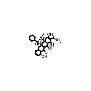 C[C@H]1c2cccc(O)c2C(=O)C2=C(O)[C@]3(O)C(=O)C(C(N)=O)=C(O)[C@@H](N(C)C)[C@@H]3[C@@H](OC(=O)C3CCCCC3)[C@@H]21